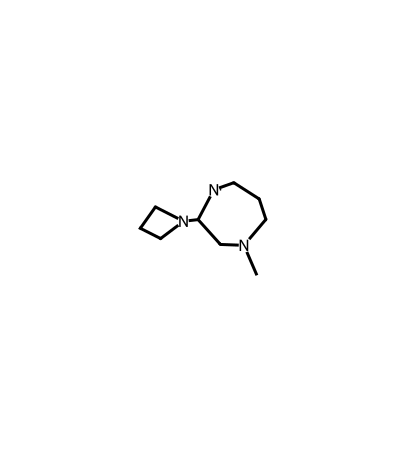 CN1CCC[N]C(N2CCC2)C1